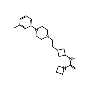 C=C(NC1CC(CCN2CCN(c3cccc(C)c3)CC2)C1)N1CCC1